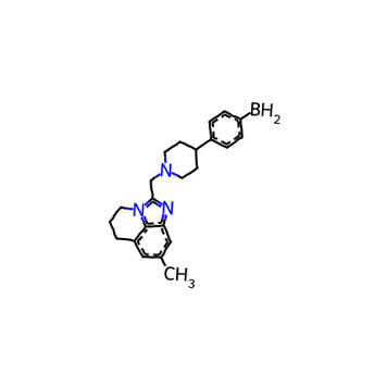 Bc1ccc(C2CCN(Cc3nc4cc(C)cc5c4n3CCC5)CC2)cc1